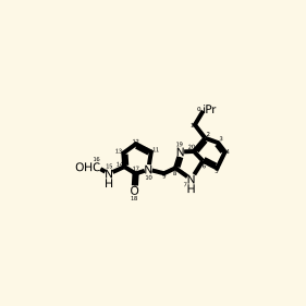 CC(C)Cc1cccc2[nH]c(Cn3cccc(NC=O)c3=O)nc12